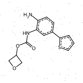 Nc1ccc(-c2cccs2)cc1NC(=O)OC1COC1